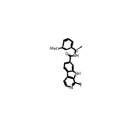 COc1cccc([C@@H](C)NC(=O)c2ccc3c(c2)[nH]c2c(F)nccc23)c1